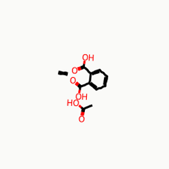 C=C.CC(=O)O.O=C(O)c1ccccc1C(=O)O